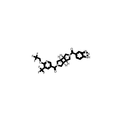 O=C(c1cnc(OCC(F)(F)F)c(C(F)(F)F)c1)N1C[C@@H]2[C@H](C1)[C@H]1CN(C(=O)c3ccc4[nH]nnc4c3)C[C@@H]21